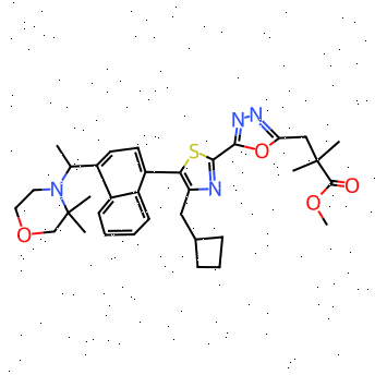 COC(=O)C(C)(C)Cc1nnc(-c2nc(CC3CCC3)c(-c3ccc(C(C)N4CCOCC4(C)C)c4ccccc34)s2)o1